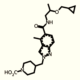 Cc1c(C(=O)NCC(C)OCC2CC2)ccc2nn(CC3CCN(C(=O)O)CC3)cc12